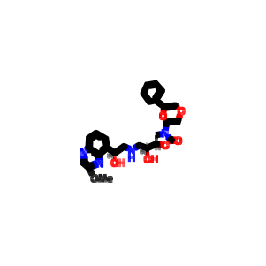 COc1cnc2cccc([C@@H](O)CNC[C@H](O)[C@@H]3CN(C4=COC=C(C5=CC=CCC5)O4)C(=O)O3)c2n1